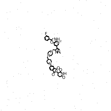 C[C@@H](Oc1cc(-c2cn(C)nc2CN2CCN(CC3CCN(c4ccc5c(c4)C(=O)N(C4CCC(=O)NC4=O)C5=O)CC3)CC2)cnc1N)c1cccc(F)c1